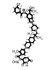 Cc1cc(N2CCC3(CCC(C(C)(C)CN4CCC(n5cc6cc(NC(=O)c7cccc(C(F)(F)F)n7)c(C(C)(C)O)cc6n5)CC4)CC3)CC2)ccc1C(=O)N(C=O)C1CCC(=O)NC1=O